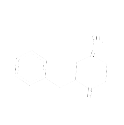 CN1CCNC(Cc2ccccc2)C1